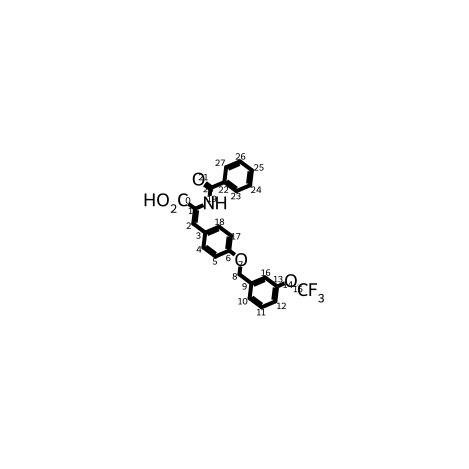 O=C(O)C(=Cc1ccc(OCc2cccc(OC(F)(F)F)c2)cc1)NC(=O)c1ccccc1